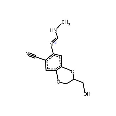 CN/C=N/c1cc2c(cc1C#N)OCC(CO)O2